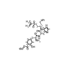 CC(C)CC[C@@H](CCS(=O)(=O)N(C)C)NC(=O)C(Cc1c[nH]cn1)NC(=O)C(N)Cc1ccc(C(=O)OC(C)(C)C)c(O)c1